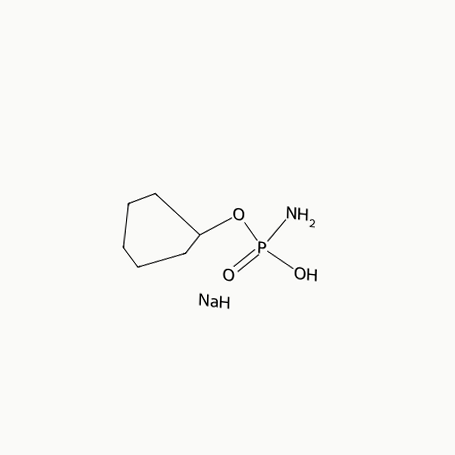 NP(=O)(O)OC1CCCCC1.[NaH]